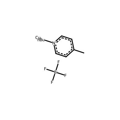 CCCC[n+]1ccc(C)cc1.F[B-](F)(F)F.[Cu]